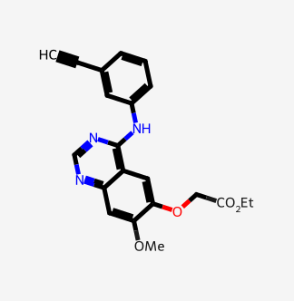 C#Cc1cccc(Nc2ncnc3cc(OC)c(OCC(=O)OCC)cc23)c1